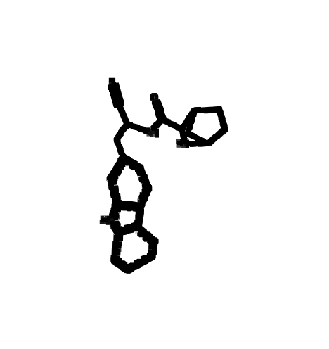 N#CC(Cc1ccc2c(c1)[nH]c1ccccc12)NC(=O)C1NC2CCC1C2